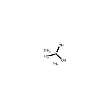 OB(O)O.P.[SrH2]